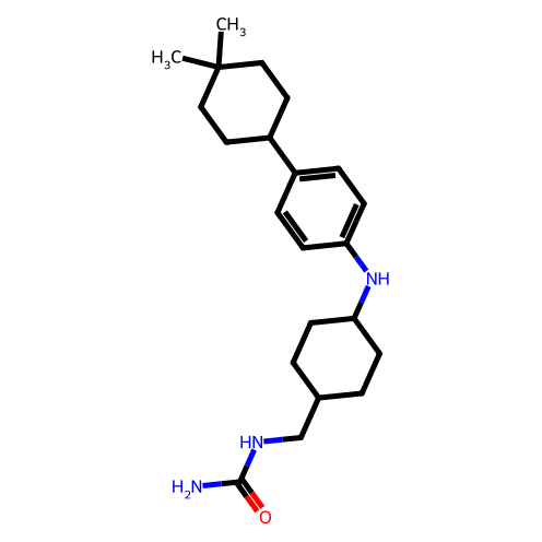 CC1(C)CCC(c2ccc(NC3CCC(CNC(N)=O)CC3)cc2)CC1